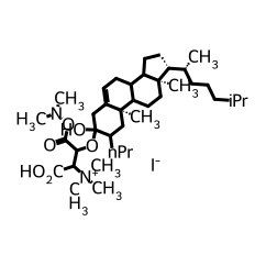 CCCC1C[C@@]2(C)C(=CCC3C2CC[C@@]2(C)C3CC[C@@H]2[C@H](C)CCCC(C)C)CC1(O)OC(C(=O)ON(C)C)C(C(=O)O)[N+](C)(C)C.[I-]